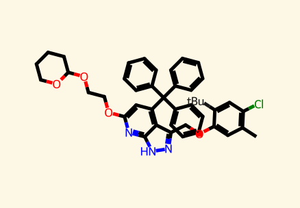 Cc1cc(OCc2n[nH]c3nc(OCCOC4CCCCO4)cc(C(c4ccccc4)(c4ccccc4)c4ccccc4)c23)c(C(C)(C)C)cc1Cl